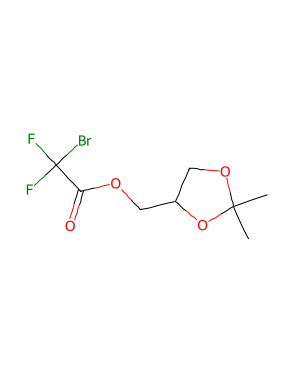 CC1(C)OCC(COC(=O)C(F)(F)Br)O1